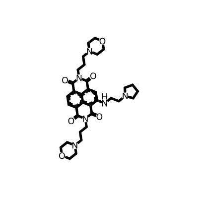 O=C1c2ccc3c4c(c(NCCN5CCCC5)cc(c24)C(=O)N1CCCN1CCOCC1)C(=O)N(CCCN1CCOCC1)C3=O